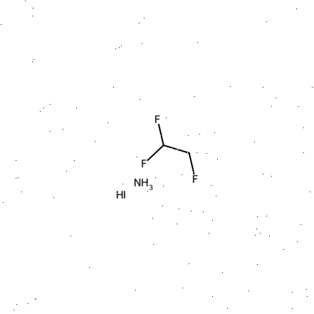 FCC(F)F.I.N